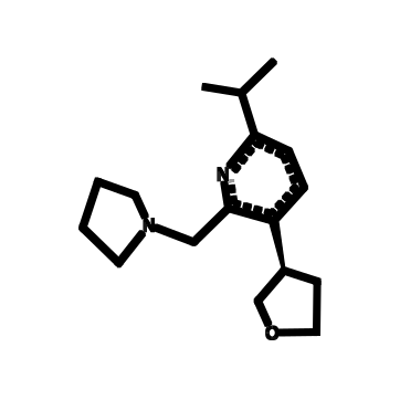 CC(C)c1ccc([C@H]2CCOC2)c(CN2CCCC2)n1